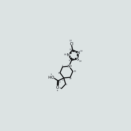 CCC1(C(=O)O)CCN(c2nc(Cl)ns2)CC1